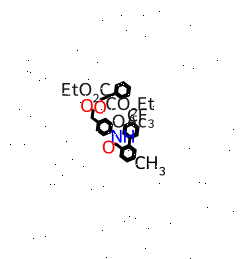 CCOC(=O)C(COC(=O)Cc1ccc(NC(=O)c2ccc(C)cc2-c2ccc(C(F)(F)F)cc2)c(OC(C)=O)c1)(C(=O)OCC)c1ccccc1